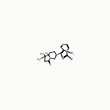 CC1(C)CC(=O)N2C[C@H](C3=C4C=NC=C[N+]4(N)C(Br)=N3)CC[C@H]21